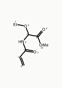 C=CC(=O)NC(OCC)C(=O)OC